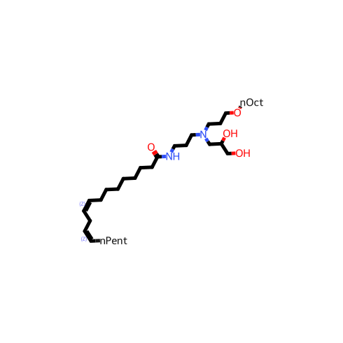 CCCCC/C=C\C/C=C\CCCCCCCC(=O)NCCCN(CCCOCCCCCCCC)CC(O)CO